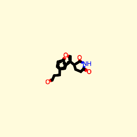 O=CCCc1ccc2occ(C3CCC(=O)NC3=O)c2c1